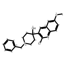 COc1ccc2nc(Cl)c(C3(O)CCN(Cc4ccccc4)CC3)cc2c1